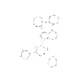 c1ccc(-c2cc(-c3ccccc3)nc(-n3cc4c5c(cccc53)-c3ccccc3-c3ccccc3-4)n2)cc1